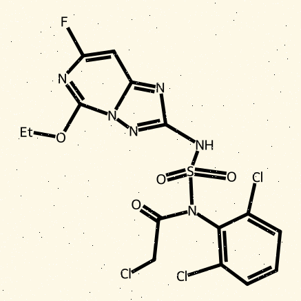 CCOc1nc(F)cc2nc(NS(=O)(=O)N(C(=O)CCl)c3c(Cl)cccc3Cl)nn12